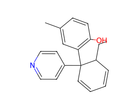 CCC1C=CC=CC1(c1ccncc1)c1cc(C)ccc1O